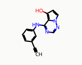 C#Cc1cccc(Nc2ncnn3ccc(O)c23)c1